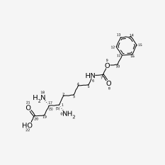 N[C@@H](CCCCNC(=O)OCc1ccccc1)[C@@H](N)CC(=O)O